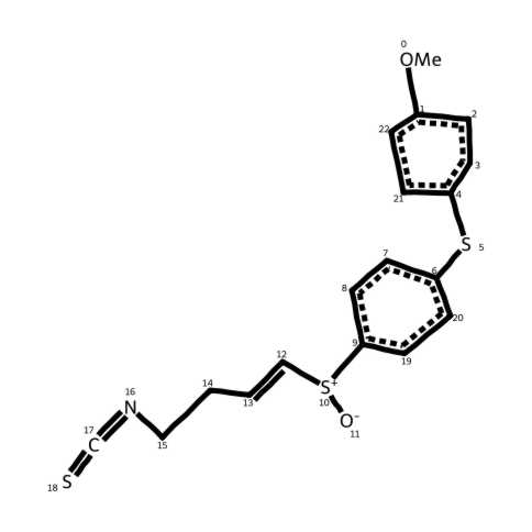 COc1ccc(Sc2ccc([S+]([O-])C=CCCN=C=S)cc2)cc1